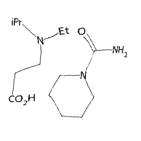 CCN(CCC(=O)O)C(C)C.NC(=O)N1CCCCC1